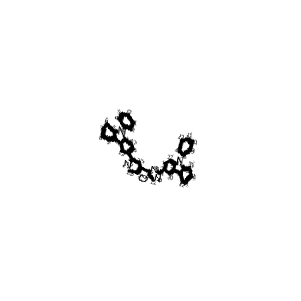 c1ccc(-n2c3ccccc3c3cc(-c4cc5c(cn4)oc4cnc(-c6ccc7c(c6)c6ccccc6n7-c6ccccc6)nc45)ccc32)cc1